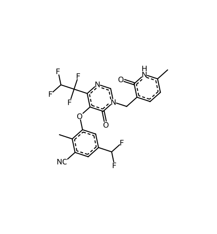 Cc1ccc(Cn2cnc(C(F)(F)C(F)F)c(Oc3cc(C(F)F)cc(C#N)c3C)c2=O)c(=O)[nH]1